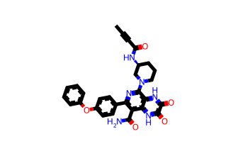 CC#CC(=O)N[C@H]1CCCN(c2nc(-c3ccc(Oc4ccccc4)cc3)c(C(N)=O)c3[nH]c(=O)c(=O)[nH]c23)C1